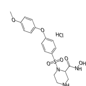 COc1ccc(Oc2ccc(S(=O)(=O)N3CCNCC3C(=O)NO)cc2)cc1.Cl